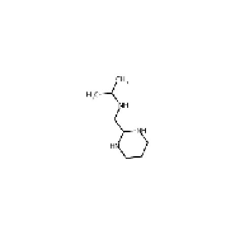 CC(C)NCC1NCCCN1